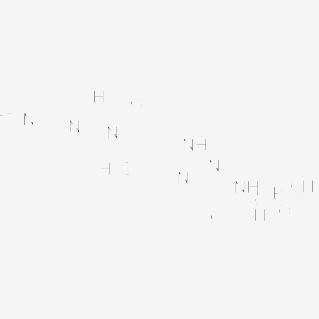 CCN1CC(N2CCN3c4c(C)cc(Nc5ncc(Cl)c(Nc6ccccc6P(C)(C)=O)n5)cc4OC[C@@H]3C2)C1